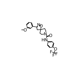 COc1cccc(C2=NOC3(CCN(C(=O)Nc4ccc(OC(F)(F)F)cc4)CC3)C2)c1